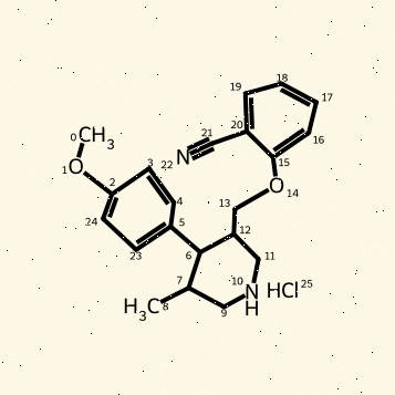 COc1ccc(C2C(C)CNCC2COc2ccccc2C#N)cc1.Cl